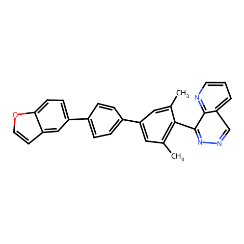 Cc1cc(-c2ccc(-c3ccc4occc4c3)cc2)cc(C)c1-c1nncc2cccnc12